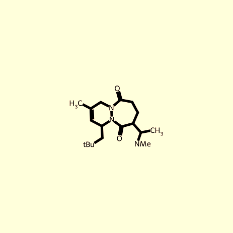 CNC(C)C1CCC(=O)N2CC(C)=CC(CC(C)(C)C)N2C1=O